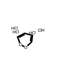 C1=COOC=C1.Cl.Cl.Cl.Cl